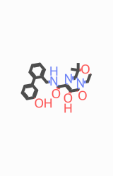 CC1(C)OCCn2c1nc(C(=O)NCc1ccccc1-c1cccc(O)c1)c(O)c2=O